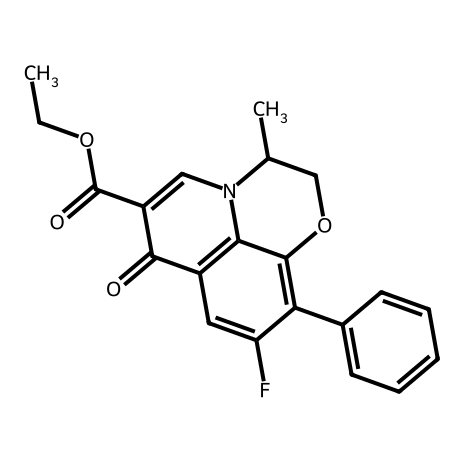 CCOC(=O)c1cn2c3c(c(-c4ccccc4)c(F)cc3c1=O)OCC2C